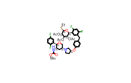 CCS[C@H]1O[C@@H](c2cc(Cc3ccc(O[C@@H]4CCN([C@H]5CO[C@H](c6cc(F)ccc6F)[C@@H](NC(=O)OC(C)(C)C)C5)C4)cc3)c(F)cc2F)[C@H](OC(C)=O)[C@@H](OC(C)=O)[C@@H]1OC(C)=O